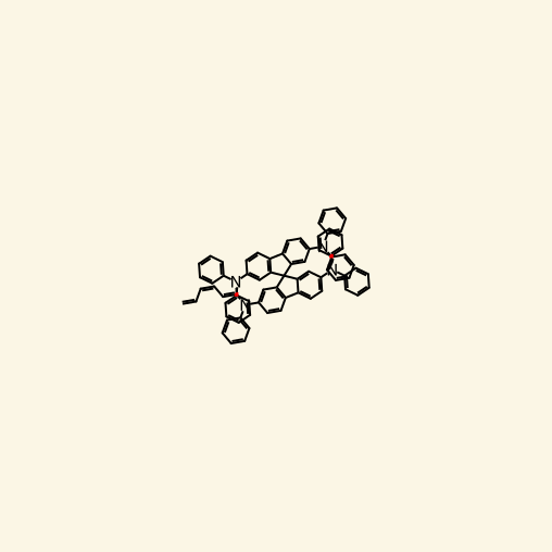 C=C/C=C\C=C(/C)N(c1ccccc1)c1ccc2c(c1)C1(c3cc(N(c4ccccc4)c4ccccc4)ccc3-2)c2cc(N(c3ccccc3)c3ccccc3)ccc2-c2ccc(N(c3ccccc3)c3ccccc3)cc21